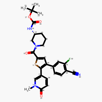 Cn1cc(-c2sc(C(=O)N3CCC[C@@H](NC(=O)OC(C)(C)C)C3)cc2-c2ccc(C#N)c(F)c2)ccc1=O